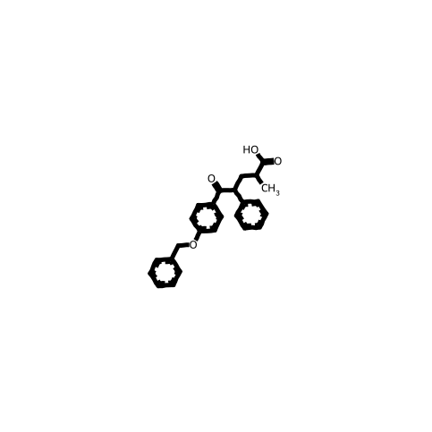 CC(CC(C(=O)c1ccc(OCc2ccccc2)cc1)c1ccccc1)C(=O)O